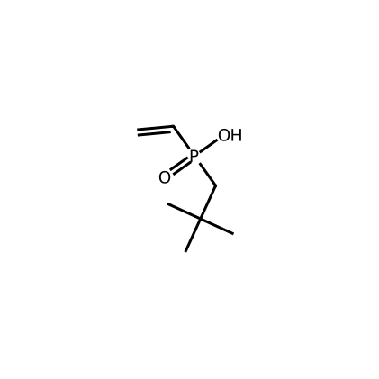 C=CP(=O)(O)CC(C)(C)C